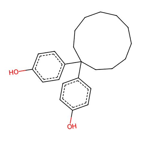 Oc1ccc(C2(c3ccc(O)cc3)CCCCCCCCCC2)cc1